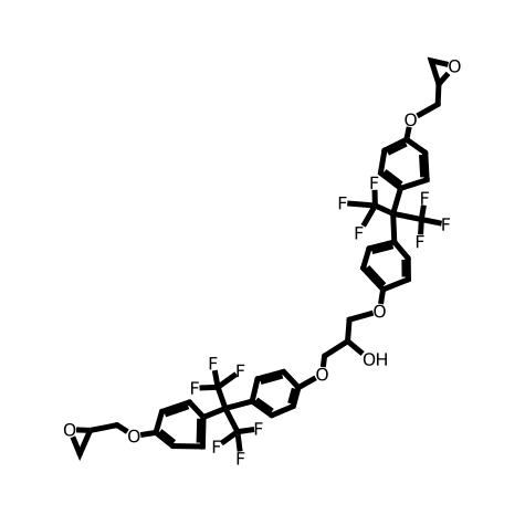 OC(COc1ccc(C(c2ccc(OCC3CO3)cc2)(C(F)(F)F)C(F)(F)F)cc1)COc1ccc(C(c2ccc(OCC3CO3)cc2)(C(F)(F)F)C(F)(F)F)cc1